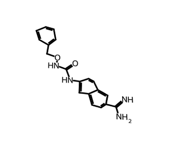 N=C(N)c1ccc2cc(NC(=O)NOCc3ccccc3)ccc2c1